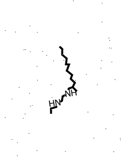 CCCCCCCCCCC(C)CNCCNCCC